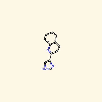 [c]1nc(-c2ccc3ccccc3n2)c[nH]1